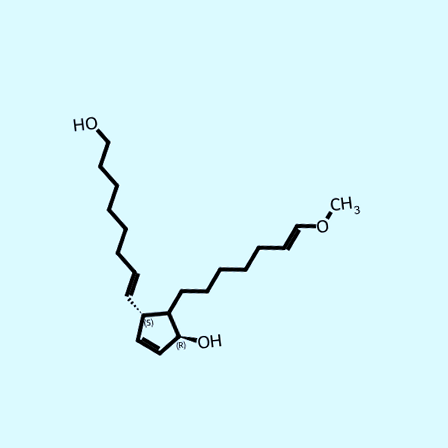 COC=CCCCCCC1[C@@H](C=CCCCCCCO)C=C[C@@H]1O